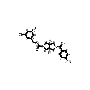 N#Cc1ccc(C(=O)N2C[C@H]3CN(C(=O)OCc4cc(Cl)cc(Cl)c4)C[C@@H]3C2)cc1